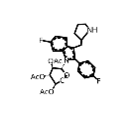 CC(=O)O[C@@H]1[C@@H](OC(C)=O)[C@H](OC(C)=O)CO[C@H]1n1c(-c2ccc(F)cc2)c(CC2CCCN2)c2ccc(F)cc21